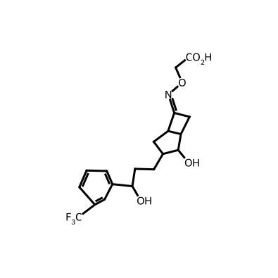 O=C(O)CON=C1CC2C1CC(CCC(O)c1cccc(C(F)(F)F)c1)C2O